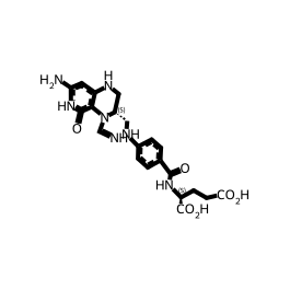 N=CN1c2c(cc(N)[nH]c2=O)NC[C@@H]1CNc1ccc(C(=O)N[C@@H](CCC(=O)O)C(=O)O)cc1